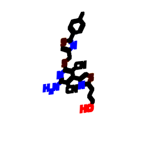 Cc1ccc(-c2nc(CSc3nc(N)c(C#N)c(-c4csc(CCCO)n4)c3C#N)cs2)cc1